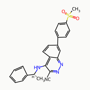 C[C@@H](Nc1c(C#N)nnc2cc(-c3ccc(S(C)(=O)=O)cc3)ccc12)c1ccccc1